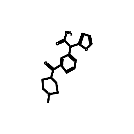 CN1CCC(C(=O)c2cccc(N(C(N)=O)c3ccco3)c2)CC1